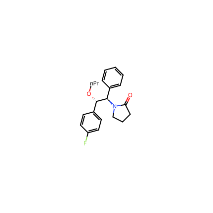 CCCO[C@@H](c1ccc(F)cc1)[C@@H](c1ccccc1)N1CCCC1=O